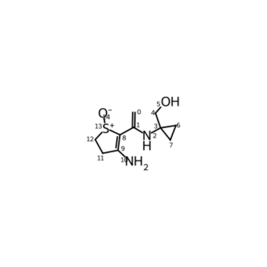 C=C(NC1(CO)CC1)C1=C(N)CC[S+]1[O-]